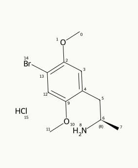 COc1cc(C[C@@H](C)N)c(OC)cc1Br.Cl